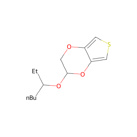 CCCCC(CC)OC1COc2cscc2O1